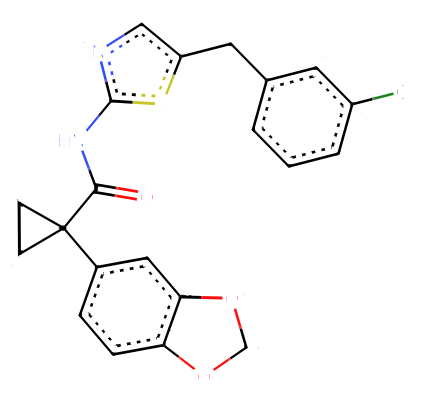 O=C(Nc1ncc(Cc2cccc(Cl)c2)s1)C1(c2ccc3c(c2)OCO3)CC1